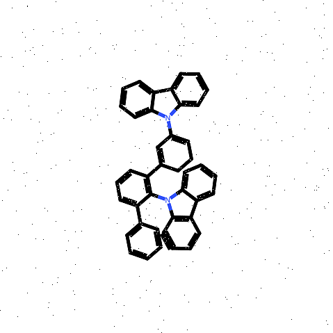 c1ccc2c3ccccc3n(-c3c(C4=CC(n5c6ccccc6c6ccccc65)=CCC4)cccc3-c3ccccc3)c2c#1